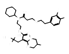 CC1CNc2c(CC(C)(C)C)c(NCCN(C(=O)CCNCCc3ccc(Cl)c(Cl)c3)C3CCCCC3)nn2C1